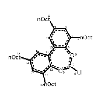 CCCCCCCCc1cc(CCCCCCCC)c2op(Cl)oc3c(CCCCCCCC)cc(CCCCCCCC)cc3c2c1